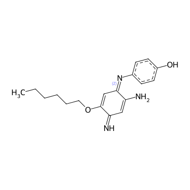 CCCCCCOC1=C/C(=N/c2ccc(O)cc2)C(N)=CC1=N